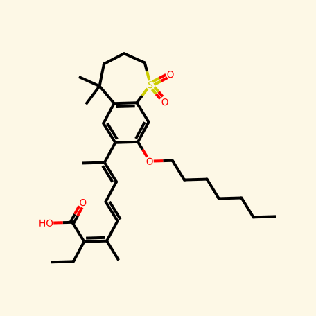 CCCCCCCOc1cc2c(cc1C(C)=CC=CC(C)=C(CC)C(=O)O)C(C)(C)CCCS2(=O)=O